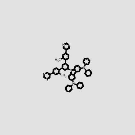 Cc1cc(-c2cncnc2)ccc1-c1cc(-c2ccc(-c3cncnc3)cc2C)cc(-n2c3ccc(N(C4=C=C=CC=C4)c4ccccc4)cc3c3cc(N(c4ccccc4)c4ccccc4)ccc32)c1